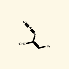 CCC/C=C(/[C]=O)N=[N+]=[N-]